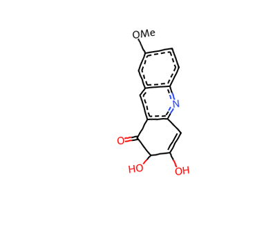 COc1ccc2nc3c(cc2c1)C(=O)C(O)C(O)=C3